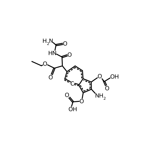 CCOC(=O)C(C(=O)NC(N)=O)c1ccc2c(OC(=O)O)c(N)c(OC(=O)O)c-2cc1